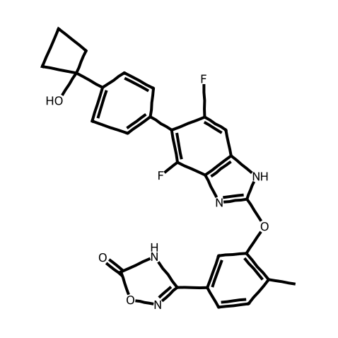 Cc1ccc(-c2noc(=O)[nH]2)cc1Oc1nc2c(F)c(-c3ccc(C4(O)CCC4)cc3)c(F)cc2[nH]1